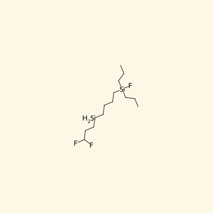 CCC[Si](F)(CCC)CCCC[SiH2]CCC(F)F